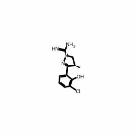 C[C@@H]1CN(C(=N)N)N=C1c1cccc(Cl)c1O